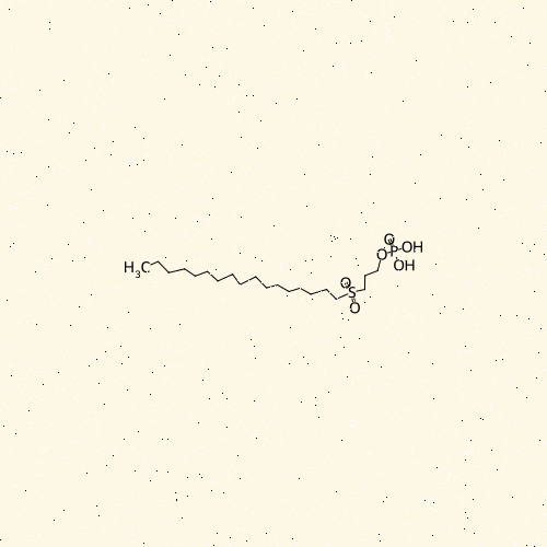 CCCCCCCCCCCCCCCCCS(=O)(=O)CCCOP(=O)(O)O